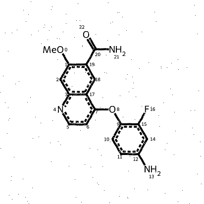 COc1cc2nccc(Oc3ccc(N)cc3F)c2cc1C(N)=O